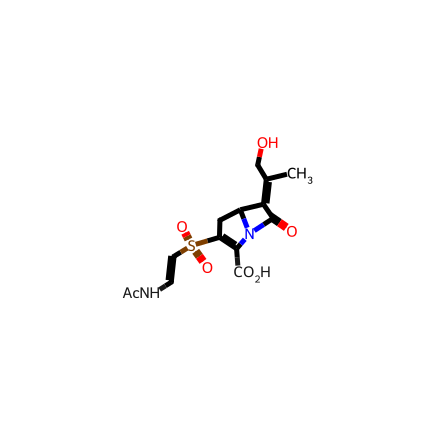 CC(=O)NC=CS(=O)(=O)C1=C(C(=O)O)N2C(=O)C(=C(C)CO)C2C1